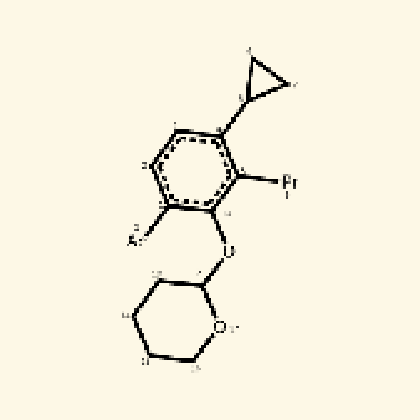 CC(=O)c1ccc(C2CC2)c(C(C)C)c1OC1CCCCO1